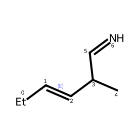 CC/C=C/C(C)C=N